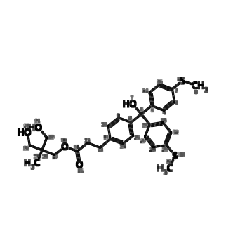 CSc1ccc(C(O)(c2ccc(CCC(=O)OCC(C)(CO)CO)cc2)c2ccc(SC)cc2)cc1